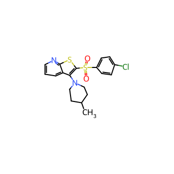 CC1CCN(c2c(S(=O)(=O)c3ccc(Cl)cc3)sc3ncccc23)CC1